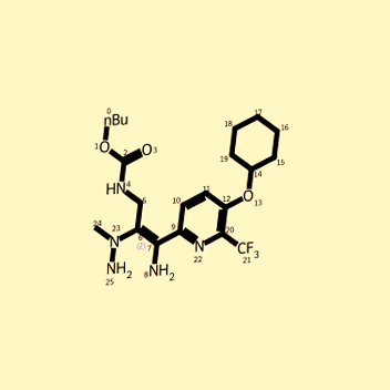 CCCCOC(=O)NC/C(=C(/N)c1ccc(OC2CCCCC2)c(C(F)(F)F)n1)N(C)N